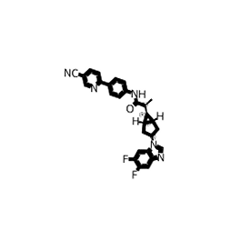 C[C@H](C(=O)Nc1ccc(-c2ccc(C#N)cn2)cc1)[C@H]1[C@@H]2C[C@@H](n3cnc4cc(F)c(F)cc43)C[C@@H]21